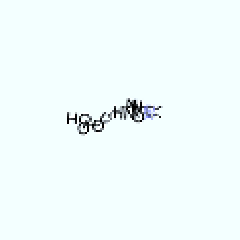 C=C/C=C(\C=C/CC)Cn1nc(CCCc2ccc(OC(C)(C)C(=O)O)cc2)[nH]c1=O